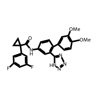 COc1ccc(-c2ccc(NC(=O)C3(c4cc(F)cc(F)c4)CC3)cc2-c2nnn[nH]2)cc1OC